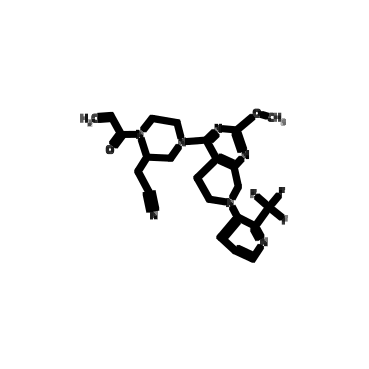 C=CC(=O)N1CCN(c2nc(OC)nc3c2CCN(c2cccnc2C(F)(F)F)C3)CC1CC#N